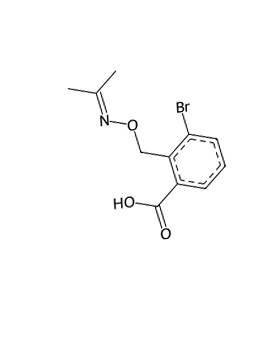 CC(C)=NOCc1c(Br)cccc1C(=O)O